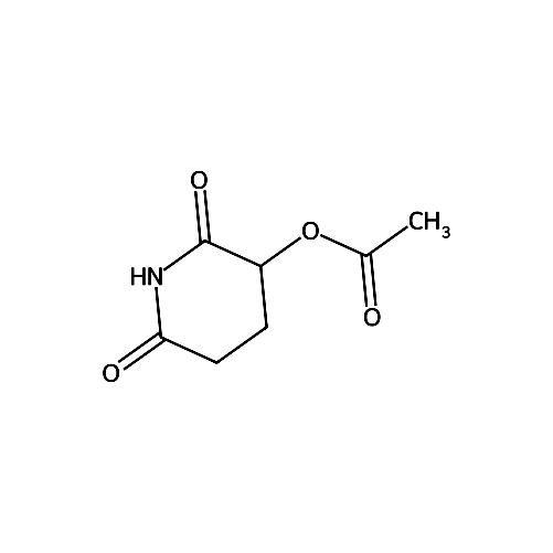 CC(=O)OC1CCC(=O)NC1=O